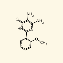 COc1ccccc1-c1nc(N)c(N)c(=O)[nH]1